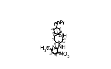 CCCOC1CCC2(CCCC(Nc3nc(C)ccc3[N+](=O)[O-])CCN2)CC1